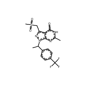 Cc1nc2c(c(CS(C)(=O)=O)nn2C(C)c2ccc(C(F)(F)F)cc2)c(=O)[nH]1